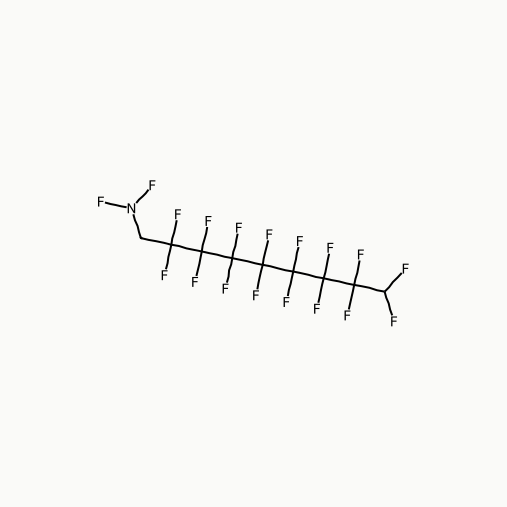 FC(F)C(F)(F)C(F)(F)C(F)(F)C(F)(F)C(F)(F)C(F)(F)C(F)(F)CN(F)F